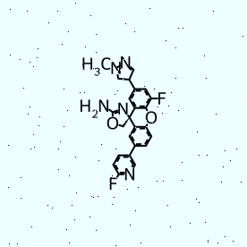 CN1CC(c2cc(F)c3c(c2)[C@]2(COC(N)=N2)c2cc(-c4ccc(F)nc4)ccc2O3)C=N1